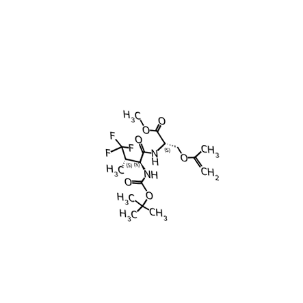 C=C(C)OC[C@H](NC(=O)[C@@H](NC(=O)OC(C)(C)C)[C@H](C)C(F)(F)F)C(=O)OC